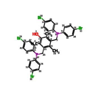 Cc1c(O)c(C)c(CP(c2ccc(Br)cc2)c2ccc(Br)cc2)c(C)c1CP(c1ccc(Br)cc1)c1ccc(Br)cc1